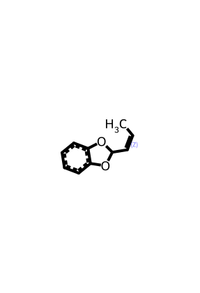 C/C=C\C1Oc2ccccc2O1